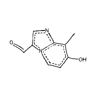 Cc1c(O)ccn2c(C=O)cnc12